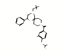 Cc1cc(C(=O)N2CCC3(CC2)CN(CC(F)(F)F)[C@H](C)C(c2ccccc2)O3)ccc1OC(C)C